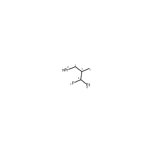 CCCCC(C)C(F)CC